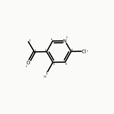 CC(=O)c1cnc(Cl)cc1I